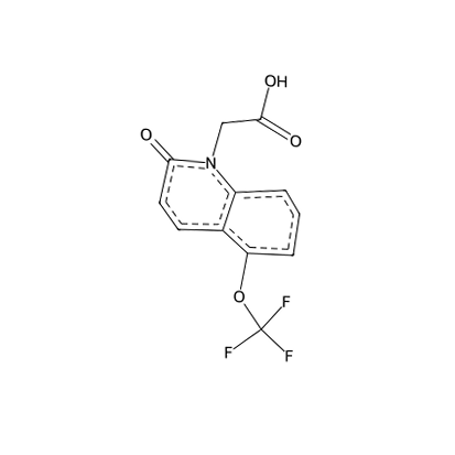 O=C(O)Cn1c(=O)ccc2c(OC(F)(F)F)cccc21